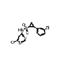 O=S(=O)(Nc1cc(Cl)ncn1)C1CC1c1cccc(Cl)c1